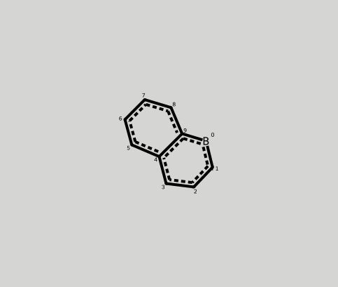 b1[c]ccc2ccccc12